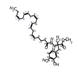 CC/C=C\C/C=C\C/C=C\C/C=C\C/C=C\CCCC(=O)NNC(C)(Cc1ccc(O)c(O)c1)C(=O)OC